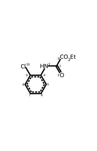 CCOC(=O)C(=O)Nc1ccccc1Cl